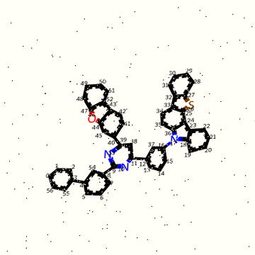 c1ccc(-c2cccc(-c3nc(-c4cccc(-n5c6ccccc6c6c7sc8ccccc8c7ccc65)c4)cc(-c4ccc5c(c4)oc4ccccc45)n3)c2)cc1